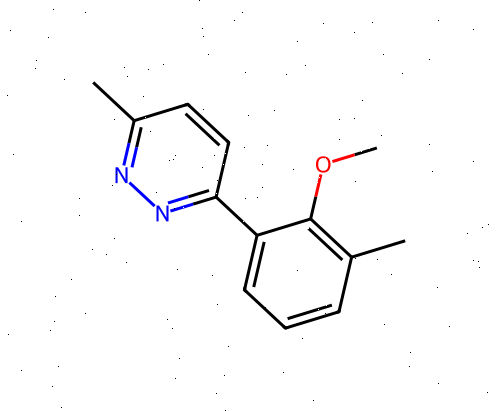 COc1c(C)cccc1-c1ccc(C)nn1